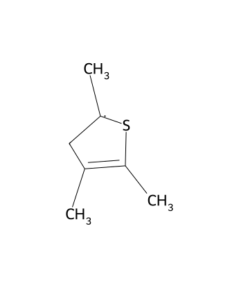 C[C]1CC(C)=C(C)S1